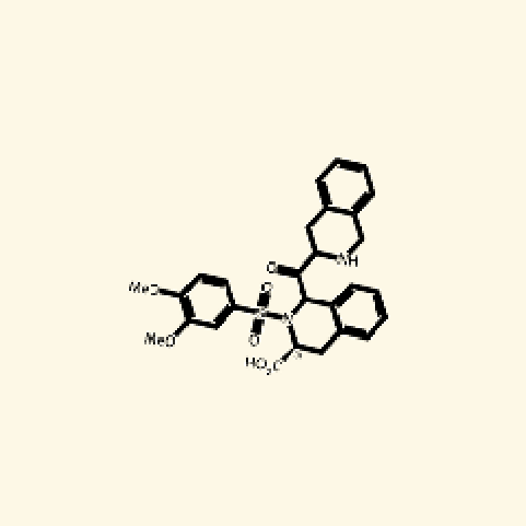 COc1ccc(S(=O)(=O)N2C(C(=O)C3Cc4ccccc4CN3)c3ccccc3C[C@H]2C(=O)O)cc1OC